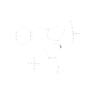 CC(C)(C)OC(=O)N(C[C@H]1CN(Cc2ccccc2)C[C@@H]1C(F)(F)F)C1CC1